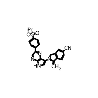 C=C1c2ccc(C#N)cc2CN1c1c[nH]c2ncc(-c3ccc(S(=O)(=O)C(C)C)cc3)nc12